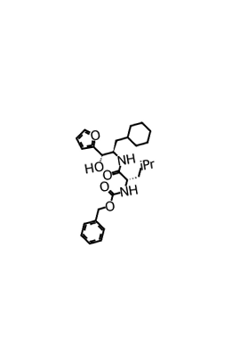 CC(C)C[C@H](NC(=O)OCc1ccccc1)C(=O)N[C@H](CC1CCCCC1)[C@H](O)c1ccco1